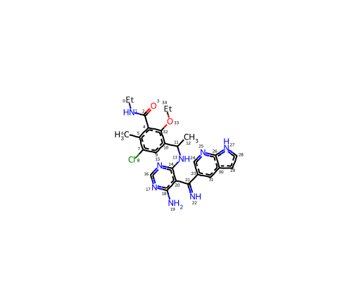 CCNC(=O)c1c(C)c(Cl)cc(C(C)Nc2ncnc(N)c2C(=N)c2cnc3[nH]ccc3c2)c1OCC